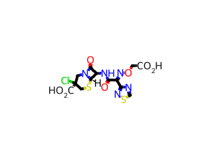 O=C(O)CON=C(C(=O)NC1C(=O)N2CC(Cl)(C(=O)O)CS[C@H]12)c1ncsn1